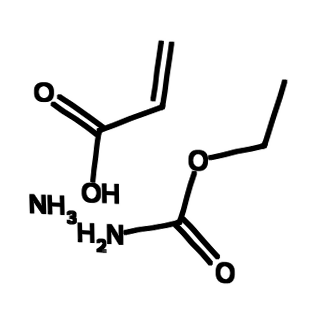 C=CC(=O)O.CCOC(N)=O.N